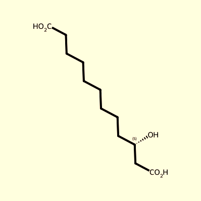 O=C(O)CCCCCCCC[C@H](O)CC(=O)O